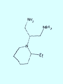 CCC1CCCCN1C(CN)CN